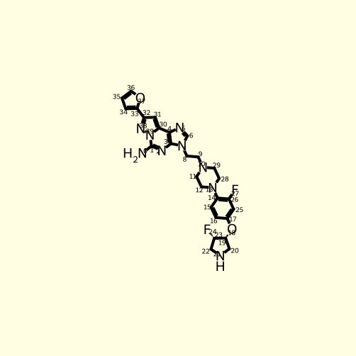 Nc1nc2c(ncn2CCN2CCN(c3ccc(O[C@@H]4CNC[C@@H]4F)cc3F)CC2)c2cc(-c3ccco3)nn12